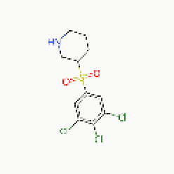 O=S(=O)(c1cc(Cl)c(Cl)c(Cl)c1)C1CCCNC1